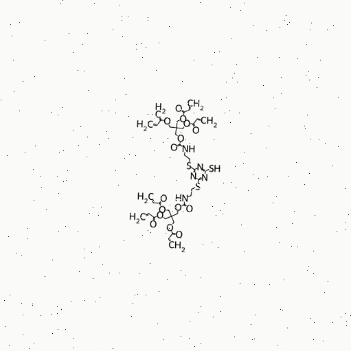 C=CC(=C)OCC(COC(=O)C=C)(COC(=O)C=C)COC(=O)NCCSc1nc(S)nc(SCCNC(=O)OCC(COC(=O)C=C)(COC(=O)C=C)COC(=O)C=C)n1